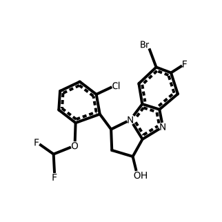 OC1CC(c2c(Cl)cccc2OC(F)F)n2c1nc1cc(F)c(Br)cc12